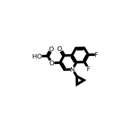 O=C(O)Oc1cn(C2CC2)c2c(F)c(F)ccc2c1=O